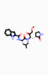 COCC(=O)[C@H](C[C@@H]1CCNC1=O)NC(=O)[C@H](CC(C)C)NC(=O)c1cc2ccccc2[nH]1